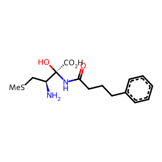 CSC[C@H](N)[C@@](O)(NC(=O)CCCc1ccccc1)C(=O)O